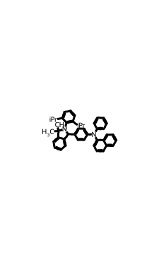 CC(C)c1cccc(C(C)C)c1N1C(c2ccc(N(c3ccccc3)c3cccc4ccccc34)cc2)c2ccccc2C1(C)C